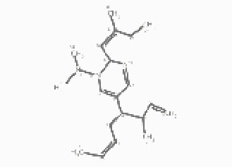 C=CC(C)[C@@H](C/C=C\C)C1=CN(N(C)C)C(C=C(C)CC)N=C1